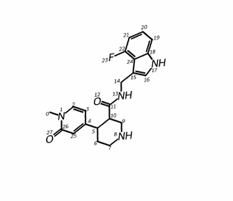 Cn1ccc(C2CCNCC2C(=O)NCc2c[nH]c3cccc(F)c23)cc1=O